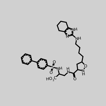 O=C(O)C(CNC(=O)C1CC(CCCCNc2nc3c([nH]2)CCCC3)ON1)NS(=O)(=O)c1ccc(-c2ccccc2)cc1